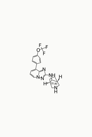 FC(F)(F)Oc1ccc(-c2cccn3nc(NC4[C@@H]5CC[C@H]4CNC5)nc23)cc1